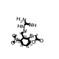 CC(=O)O.N=C(N)N/N=C/c1c(Br)cccc1[N+](=O)[O-]